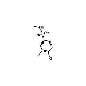 [CH2]NS(=O)(=O)c1cnc(Cl)c(Cl)c1